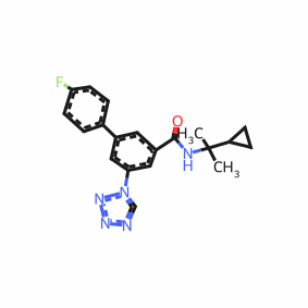 CC(C)(NC(=O)c1cc(-c2ccc(F)cc2)cc(-n2cnnn2)c1)C1CC1